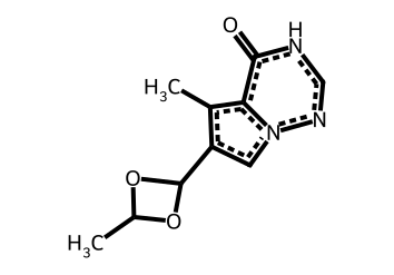 Cc1c(C2OC(C)O2)cn2nc[nH]c(=O)c12